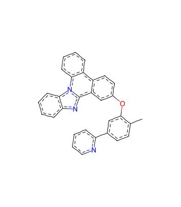 Cc1ccc(-c2ccccn2)cc1Oc1ccc2c3ccccc3n3c4ccccc4nc3c2c1